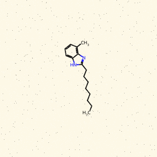 CCCCCCCCc1nc2c(C)cccc2[nH]1